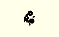 Fc1ccc(F)c(N[C@H]2CCN(Cc3ccccc3)C2)c1